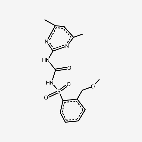 COCc1ccccc1S(=O)(=O)NC(=O)Nc1nc(C)cc(C)n1